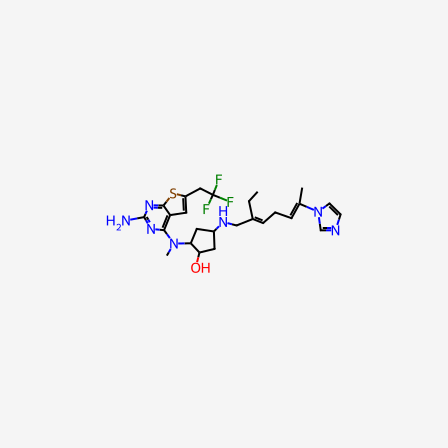 CC/C(=C\C/C=C(\C)n1ccnc1)CNC1CC(O)C(N(C)c2nc(N)nc3sc(CC(F)(F)F)cc23)C1